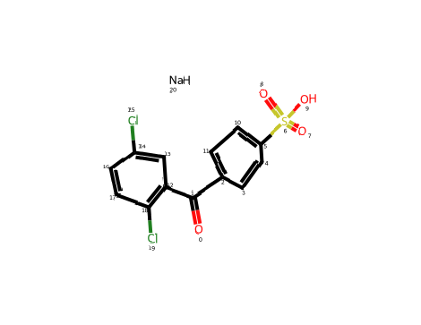 O=C(c1ccc(S(=O)(=O)O)cc1)c1cc(Cl)ccc1Cl.[NaH]